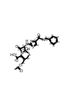 CC(=O)OCC1=C(C(=O)O)N2C(=O)[C@@H](Nc3nc(C(=O)NCc4ccccc4)cs3)[C@H]2SC1